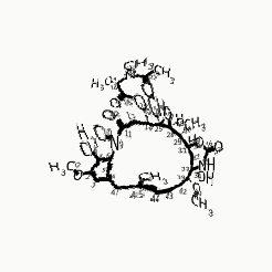 COc1cc2cc(c1Cl)N(C)C(=O)C[C@H](OC(=O)[C@H](C)N(C)C(C)=O)[C@@]1(C)O[C@H]1[C@H](C)[C@@H]1C[C@@](O)(NC(=O)O1)[C@H](OC)CC/C=C(\C)C2